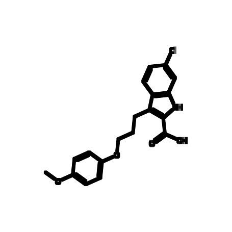 COc1ccc(OCCCc2c(C(=O)O)[nH]c3cc(Cl)ccc23)cc1